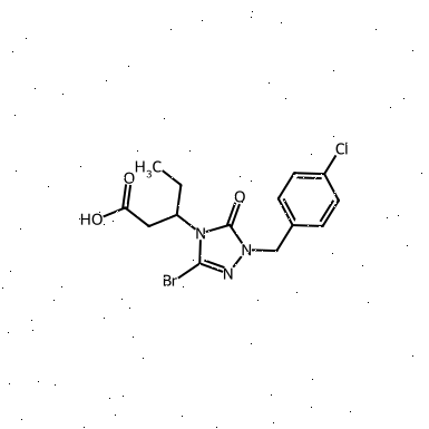 CCC(CC(=O)O)n1c(Br)nn(Cc2ccc(Cl)cc2)c1=O